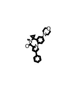 CN1C(=O)c2cc(-c3ccccc3)cn2-c2ccc(N3CCOCC3)cc2C12CC2